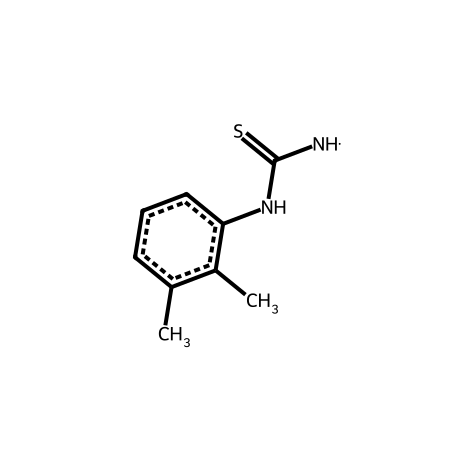 Cc1cccc(NC([NH])=S)c1C